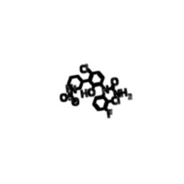 NC(=O)N(c1ccc(Cl)c(C2CCCN([SH](=O)=O)C2)c1O)c1cccc(F)c1Cl